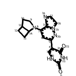 O=c1[nH]cc(-c2cc(N3CCC4CCC43)c3nccn3n2)c(=O)[nH]1